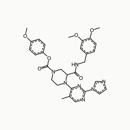 COc1ccc(OC(=O)N2CCN(c3nc(-n4ccnc4)ncc3C)C(C(=O)NCc3ccc(OC)c(OC)c3)C2)cc1